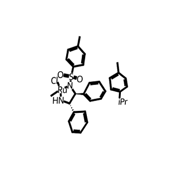 Cc1ccc(C(C)C)cc1.Cc1ccc(S(=O)(=O)[N]2[C@@H](c3ccccc3)[C@H](c3ccccc3)[NH][Ru]2([CH3])[Cl])cc1